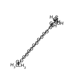 CSC(CC(=O)O)C(=O)NCCC(=O)NCOCCCOCCOCCOCCOCCOCCOCCOCCOCCOCCOCCOCCC(=O)C(C)C